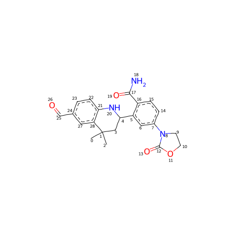 CC1(C)CC(c2cc(N3CCOC3=O)ccc2C(N)=O)Nc2ccc([C]=O)cc21